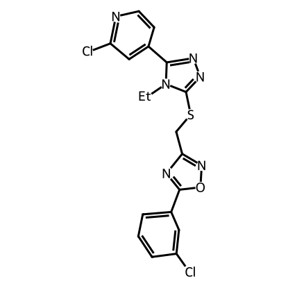 CCn1c(SCc2noc(-c3cccc(Cl)c3)n2)nnc1-c1ccnc(Cl)c1